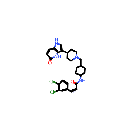 O=C(/C=C\c1ccc(Cl)c(Cl)c1)NC1CCC(CN2CCC(c3c[nH]c4ccc(=O)[nH]c34)CC2)CC1